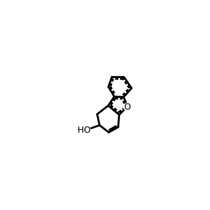 OC1C=Cc2oc3ccccc3c2C1